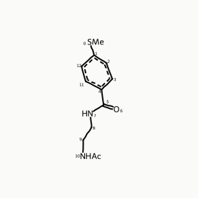 CSc1ccc(C(=O)NCCNC(C)=O)cc1